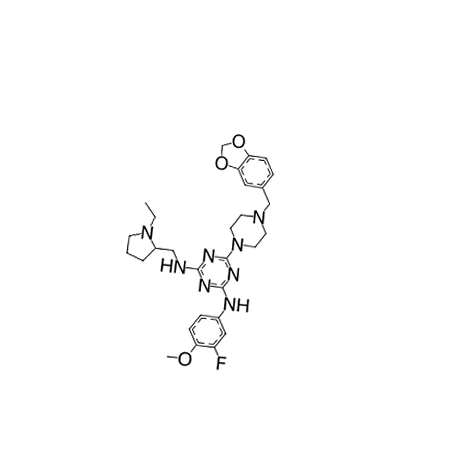 CCN1CCCC1CNc1nc(Nc2ccc(OC)c(F)c2)nc(N2CCN(Cc3ccc4c(c3)OCO4)CC2)n1